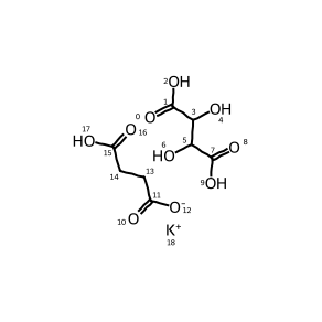 O=C(O)C(O)C(O)C(=O)O.O=C([O-])CCC(=O)O.[K+]